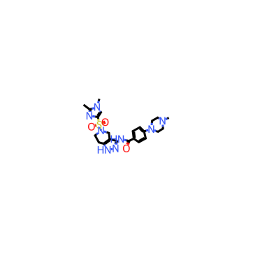 Cc1nc(S(=O)(=O)N2CCc3[nH]nc(NC(=O)c4ccc(N5CCN(C)CC5)cc4)c3C2)cn1C